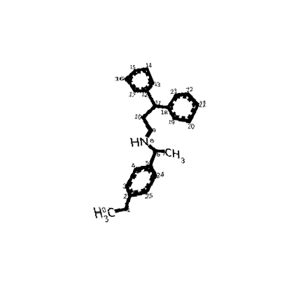 CCc1ccc(C(C)NCCC(c2ccccc2)c2ccccc2)cc1